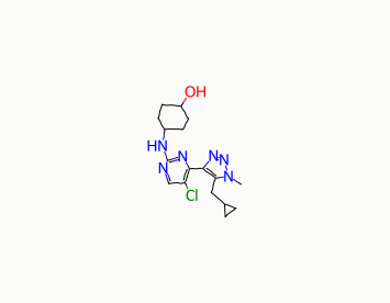 Cn1nnc(-c2nc(NC3CCC(O)CC3)ncc2Cl)c1CC1CC1